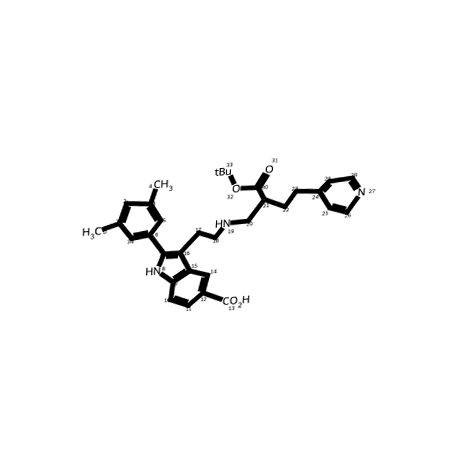 Cc1cc(C)cc(-c2[nH]c3ccc(C(=O)O)cc3c2CCNCC(CCc2ccncc2)C(=O)OC(C)(C)C)c1